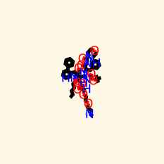 CCCCCC(=O)NC(Cc1ccccc1-c1ccccc1)(C(=O)NC(Cc1ccccc1)C(=O)NC(=O)N1CCOCC1)C(CNC(=O)OC(C)(C)C)COC(=O)COCCOCCN(C)C